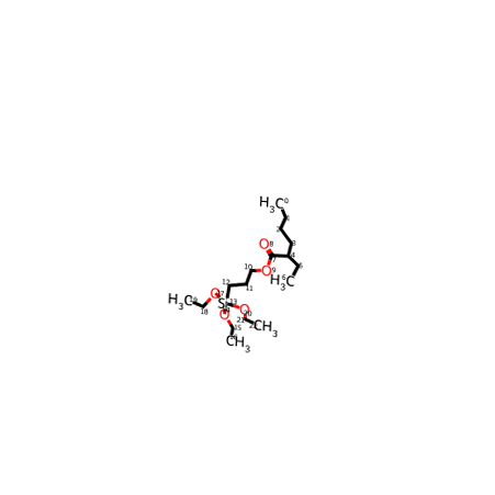 CCCCC(CC)C(=O)OCCC[Si](OCC)(OCC)OCC